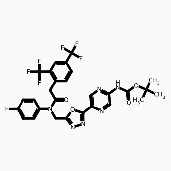 CC(C)(C)OC(=O)Nc1cnc(-c2nnc(CN(C(=O)Cc3ccc(C(F)(F)F)cc3C(F)(F)F)c3ccc(F)cc3)o2)cn1